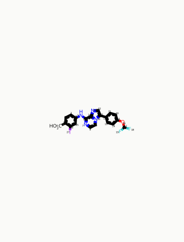 O=C(O)c1ccc(Nc2nccn3c(-c4ccc(OC(F)F)cc4)cnc23)cc1I